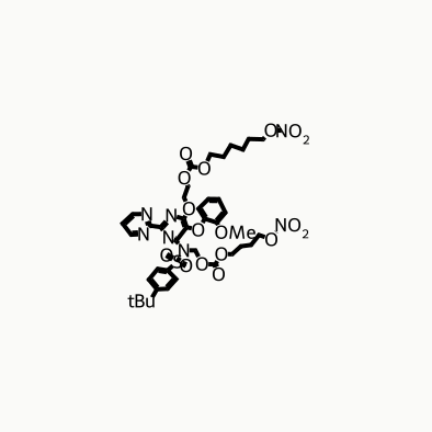 COc1ccccc1Oc1c(OCCOC(=O)OCCCCCCO[N+](=O)[O-])nc(-c2ncccn2)nc1N(COC(=O)OCCCCO[N+](=O)[O-])S(=O)(=O)c1ccc(C(C)(C)C)cc1